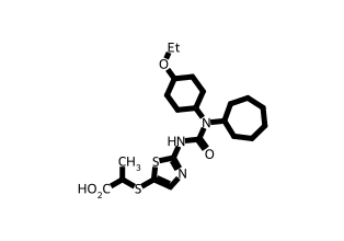 CCOC1CCC(N(C(=O)Nc2ncc(SC(C)C(=O)O)s2)C2CCCCCC2)CC1